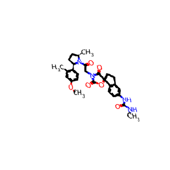 CNC(=O)Nc1ccc2c(c1)CCC21OC(=O)N(CC(=O)N2[C@@H](c3ccc(OC)cc3C)CC[C@@H]2C)C1=O